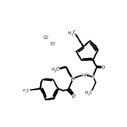 CC[N]([Hf+2][N](CC)C(=O)c1ccc(C)cc1)C(=O)c1ccc(C)cc1.[Cl-].[Cl-]